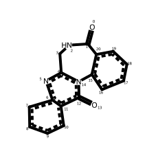 O=C1NCc2nc3ccccc3c(=O)n2-c2ccccc21